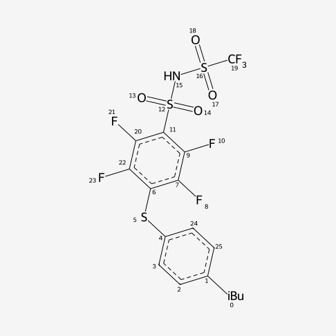 CCC(C)c1ccc(Sc2c(F)c(F)c(S(=O)(=O)NS(=O)(=O)C(F)(F)F)c(F)c2F)cc1